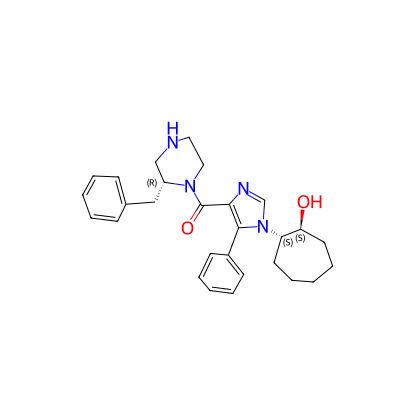 O=C(c1ncn([C@H]2CCCCC[C@@H]2O)c1-c1ccccc1)N1CCNC[C@H]1Cc1ccccc1